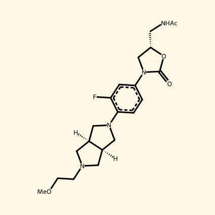 COCCN1C[C@@H]2CN(c3ccc(N4C[C@H](CNC(C)=O)OC4=O)cc3F)C[C@@H]2C1